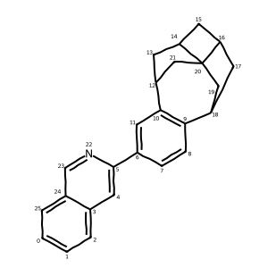 c1ccc2cc(-c3ccc4c(c3)C3CC5CC6CC4CC65C3)ncc2c1